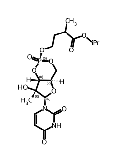 CC(C)OC(=O)C(C)CCO[P@@]1(=O)OC[C@H]2O[C@@H](n3ccc(=O)[nH]c3=O)[C@](C)(O)[C@@H]2O1